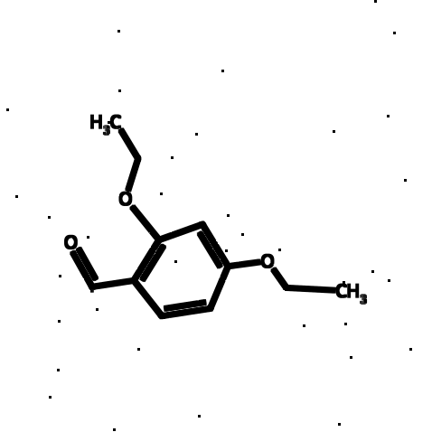 CCOc1ccc([C]=O)c(OCC)c1